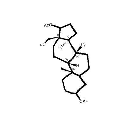 CC(=O)OC1CC[C@@]2(C)C(CC[C@@H]3[C@H]2CC[C@]2(CC#N)C(OC(C)=O)CC[C@@H]32)C1